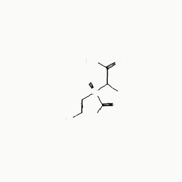 CC(C(=O)O)P(=O)(CCO)C(=O)O